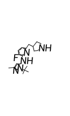 Cc1cc(Nc2nc(CC3CCNCC3)ccc2F)n(C(C)(C)C)n1